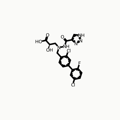 O=C(NN(Cc1ccc(-c2cc(Cl)ccc2F)cc1Cl)C[C@@H](O)C(=O)O)c1c[nH]nn1